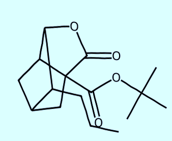 CCCC1C2CC3C1OC(=O)C3(C(=O)OC(C)(C)C)C2